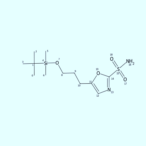 CC(C)(C)[Si](C)(C)OCCCc1cnc(S(N)(=O)=O)o1